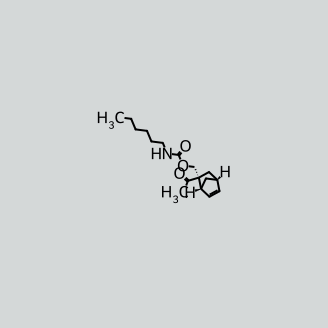 CCCCCCNC(=O)OC[C@]1(C(C)=O)C[C@@H]2C=C[C@H]1C2